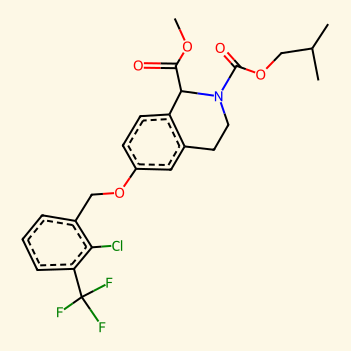 COC(=O)C1c2ccc(OCc3cccc(C(F)(F)F)c3Cl)cc2CCN1C(=O)OCC(C)C